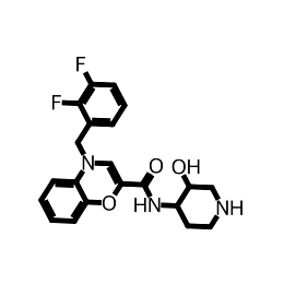 O=C(NC1CCNCC1O)C1=CN(Cc2cccc(F)c2F)c2ccccc2O1